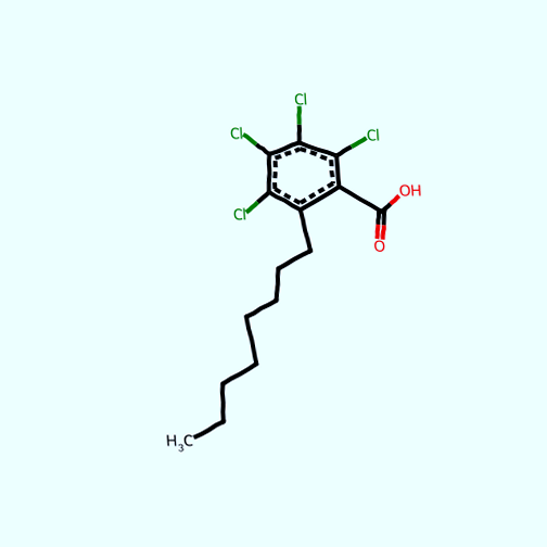 CCCCCCCCc1c(Cl)c(Cl)c(Cl)c(Cl)c1C(=O)O